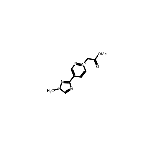 COC(=O)C[n+]1ccc(-c2ncn(C)n2)cn1